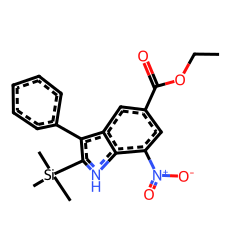 CCOC(=O)c1cc([N+](=O)[O-])c2[nH]c([Si](C)(C)C)c(-c3ccccc3)c2c1